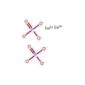 O=P([O-])([O-])[O-].O=P([O-])([O-])[O-].[Lu+3].[Lu+3]